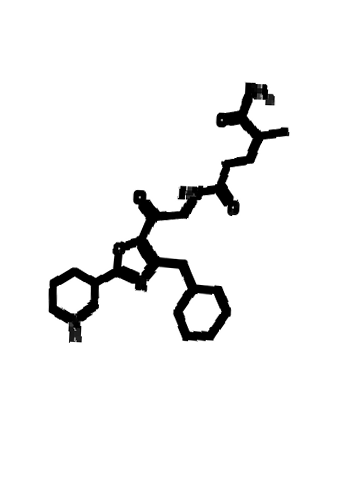 CC(C[CH]C(=O)NCC(=O)c1oc(C2CCCNC2)nc1CC1CCCCC1)C(N)=O